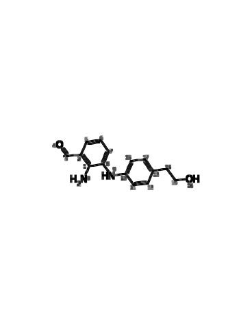 Nc1c([C]=O)cccc1Nc1ccc(CCO)cc1